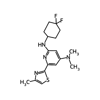 Cc1csc(-c2cc(N(C)C)cc(NC3CCC(F)(F)CC3)n2)n1